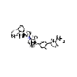 Cc1cc(NC(=O)/C(C=N)=C(/Nc2cccc3ccncc23)C(F)(F)F)ccc1-c1ccnc(N)n1